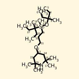 CCC(C)(CC)O[Si](C)(CCCOC1CC(C)(C)NC(C)(C)C1)C(C)(CC)CC